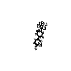 CC(C)(C)OC(=O)N1CC=C(c2ccc(F)nc2)CC1